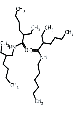 CCCCC(CC)CNC(=O)C(CC)CCCC.CCCCCCNC(=O)C(CC)CCCC